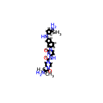 CC(C)(N)C(=O)N1CCN(C(=O)Nc2ccn(-c3ccc4c(c3)CC(NC3CCC(N)([SiH3])C3)C4)c(=O)n2)CC1